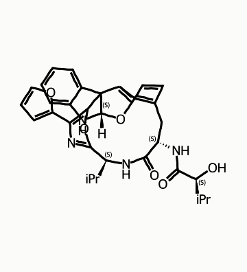 CC(C)[C@H](O)C(=O)N[C@H]1Cc2ccc3c(c2)C2(c4ccccc4N[C@H]2O3)c2oc(nc2-c2ccco2)[C@H](C(C)C)NC1=O